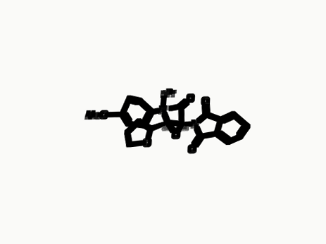 CCC[N+]1(c2ccc(OC)cc2)C(=O)[C@]2(N3C(=O)c4ccccc4C3=O)O[C@@]21C1CCCO1